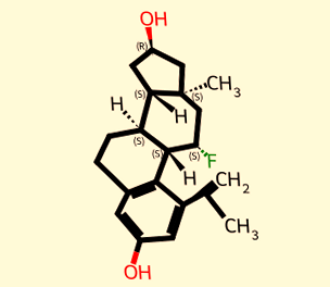 C=C(C)c1cc(O)cc2c1[C@@H]1[C@@H](CC2)[C@@H]2C[C@@H](O)C[C@@]2(C)C[C@@H]1F